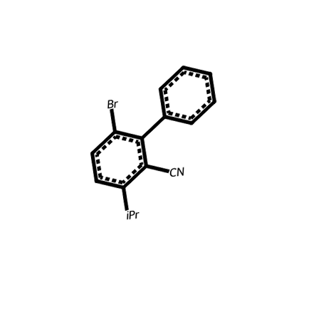 CC(C)c1ccc(Br)c(-c2ccccc2)c1C#N